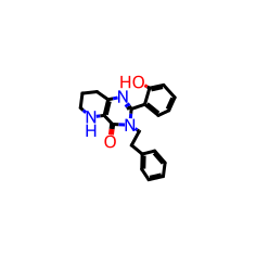 O=c1c2c(nc(-c3ccccc3O)n1CCc1ccccc1)CCCN2